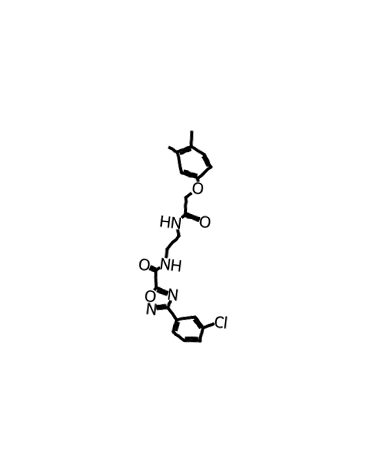 Cc1ccc(OCC(=O)NCCNC(=O)c2nc(-c3cccc(Cl)c3)no2)cc1C